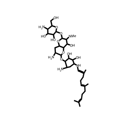 CNC1C(OC2OC(CO)C(N)C(O)C2O)OC2CC(N)C(OC3C(N)CC(N/C=C(\C)CC/C=C(\C)CCC=C(C)C)C(O)C3O)OC2C1O